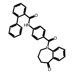 O=C(Nc1ccc(C(=O)N2CCCC(=O)c3ccccc32)cc1)c1ccccc1-c1ccccc1